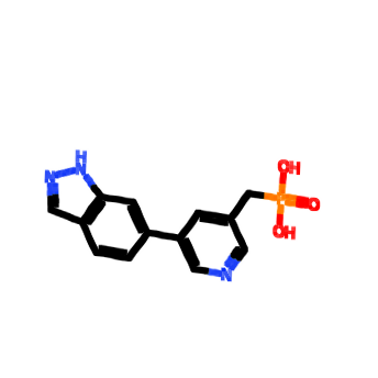 O=P(O)(O)Cc1cncc(-c2ccc3cn[nH]c3c2)c1